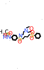 CS(=O)(=O)Nc1ccc(S(=O)(CCCCS(=O)(=O)c2ccccc2)=NCCN2CCOCC2)cc1